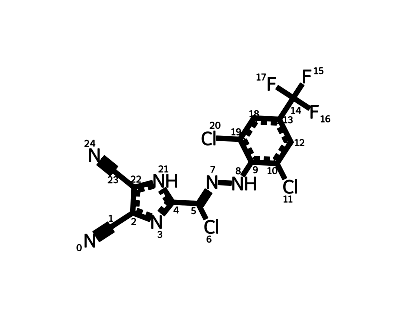 N#Cc1nc(C(Cl)=NNc2c(Cl)cc(C(F)(F)F)cc2Cl)[nH]c1C#N